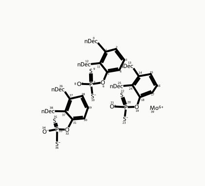 CCCCCCCCCCc1cccc(OP([O-])(=S)[S-])c1CCCCCCCCCC.CCCCCCCCCCc1cccc(OP([O-])(=S)[S-])c1CCCCCCCCCC.CCCCCCCCCCc1cccc(OP([O-])(=S)[S-])c1CCCCCCCCCC.[Mo+6]